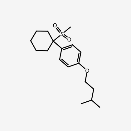 CC(C)CCOc1ccc(C2(S(C)(=O)=O)CCCCC2)cc1